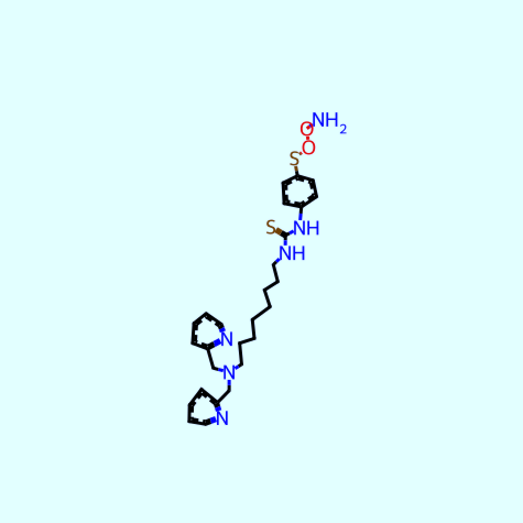 NOOSc1ccc(NC(=S)NCCCCCCCCN(Cc2ccccn2)Cc2ccccn2)cc1